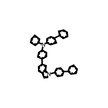 c1ccc(-c2ccc(N(c3ccccc3)c3ccc(-c4ccc5ccn(-c6ccc(-c7ccccc7)cc6)c5c4)cc3)cc2)cc1